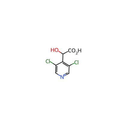 O=C(O)C(O)c1c(Cl)cncc1Cl